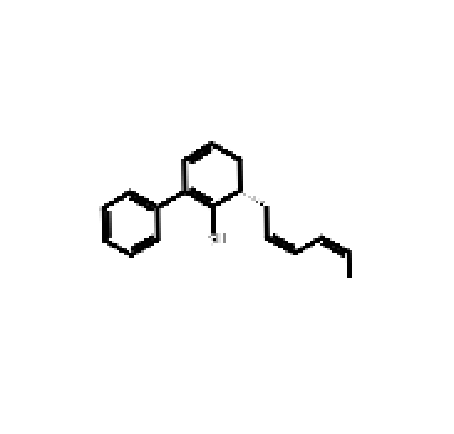 SC1=C(c2ccccc2)C=CC[C@@H]1C/C=C\C=C/I